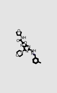 Cc1cccc(/C=N/Nc2nc(N3CCOCC3)c3nc(C(=O)NC4CCOC4)oc3n2)c1